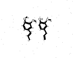 C=CCc1ccc(O)c(OC)c1.CC=Cc1ccc(OC)c(OC)c1